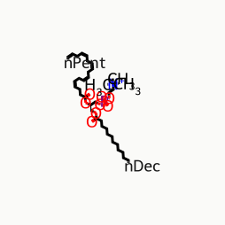 CCCCC/C=C\C/C=C\C/C=C\C/C=C\C/C=C\CCC(=O)O[C@H](COC(=O)CCCCCCCCCCCCCCCCCCCCC)COP(=O)([O-])OCC[N+](C)(C)C